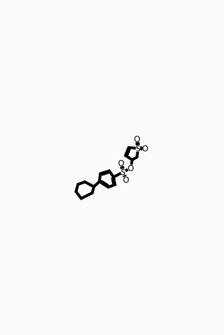 O=S1(=O)C=CC(OS(=O)(=O)c2ccc(C3CCCCC3)cc2)C1